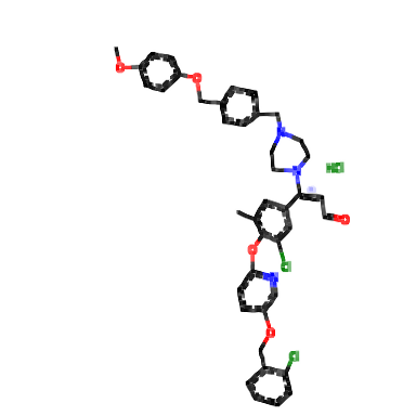 COc1ccc(OCc2ccc(CN3CCN(/C(=C/C=O)c4cc(C)c(Oc5ccc(OCc6ccccc6Cl)cn5)c(Cl)c4)CC3)cc2)cc1.Cl